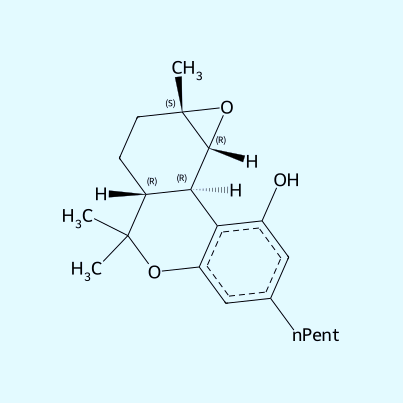 CCCCCc1cc(O)c2c(c1)OC(C)(C)[C@@H]1CC[C@]3(C)O[C@@H]3[C@@H]21